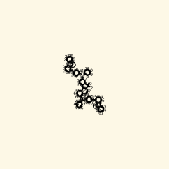 CC1(C)c2cc(N(c3ccccc3)c3ccc(-c4cccc5c4oc4ccccc45)cc3)ccc2-c2c1ccc1c(N(c3ccccc3)c3ccc(-c4cccc5c4oc4ccccc45)cc3)cccc21